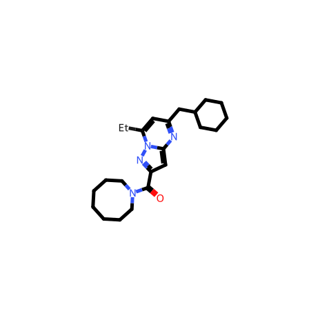 CCc1cc(CC2CCCCC2)nc2cc(C(=O)N3CCCCCCC3)nn12